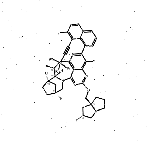 CC(C)[Si](C#Cc1c(F)ccc2cccc(-c3nc4c5c(nc(OC[C@@]67CCCN6C[C@H](F)C7)nc5c3F)N3C[C@H]5CC[C@H](C5)[C@@H]3[C@@H](C)C4)c12)(C(C)C)C(C)C